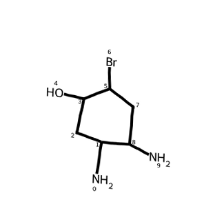 NC1CC(O)C(Br)CC1N